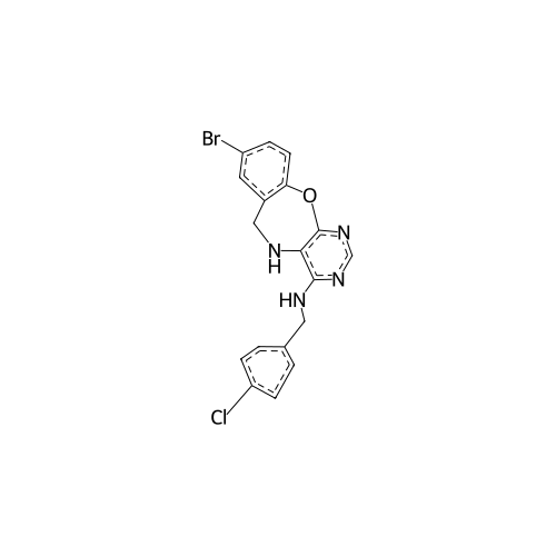 Clc1ccc(CNc2ncnc3c2NCc2cc(Br)ccc2O3)cc1